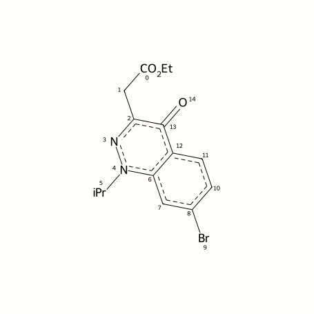 CCOC(=O)Cc1nn(C(C)C)c2cc(Br)ccc2c1=O